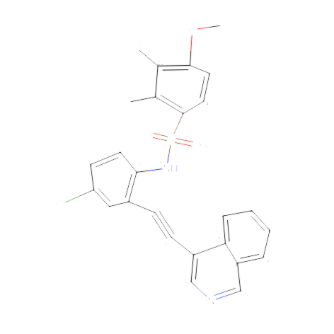 COc1ccc(S(=O)(=O)Nc2ccc(Cl)cc2C#Cc2cncc3ccccc23)c(C)c1C